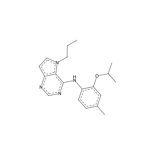 CCCn1ccc2ncnc(Nc3ccc(C)cc3OC(C)C)c21